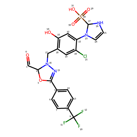 O=CC1OC(c2ccc(C(F)(F)F)cc2)=NN1Cc1cc(Cl)c(N2C=CNC2S(=O)(=O)O)cc1O